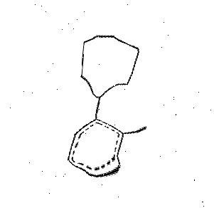 Cc1ccccc1C1CCCCC1